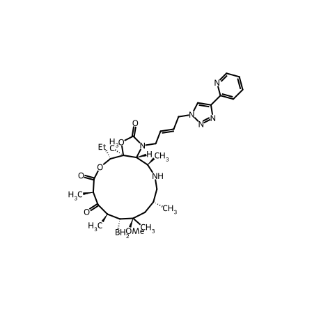 B[C@@H]1[C@@H](C)C(=O)[C@@H](C)C(=O)O[C@H](CC)[C@@]2(C)OC(=O)N(C/C=C/Cn3cc(-c4ccccn4)nn3)[C@@H]2[C@@H](C)NC[C@H](C)C[C@@]1(C)OC